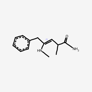 CN/C(=C\C(C)C(N)=O)Cc1ccccc1